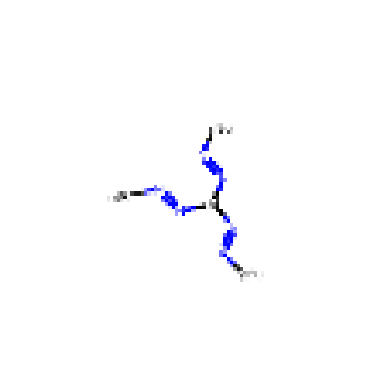 CCCC/N=[N]/[Al](/[N]=N/CCCC)/[N]=N/CCCC